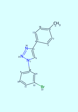 Cc1ccc(-c2cn(-c3cccc(Br)c3)nn2)cc1